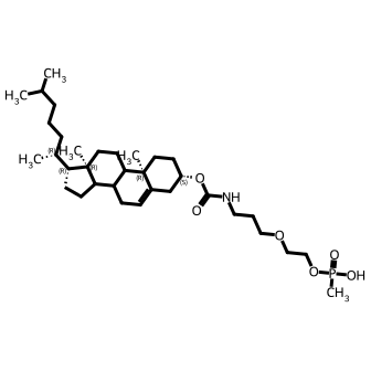 CC(C)CCC[C@@H](C)[C@H]1CCC2C3CC=C4C[C@@H](OC(=O)NCCCOCCOP(C)(=O)O)CC[C@]4(C)C3CC[C@@]21C